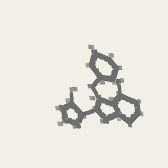 Fc1cccc2nc(-c3snnc3I)n(Cc3cccnc3)c12